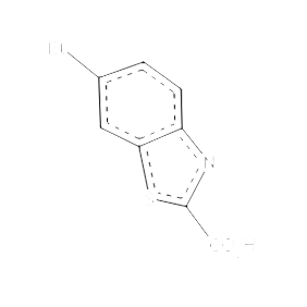 CCc1ccc2nc(C(=O)O)sc2c1